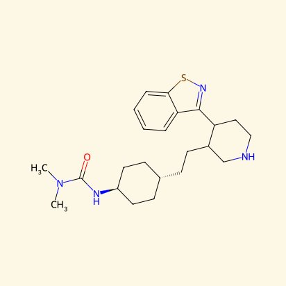 CN(C)C(=O)N[C@H]1CC[C@H](CCC2CNCCC2c2nsc3ccccc23)CC1